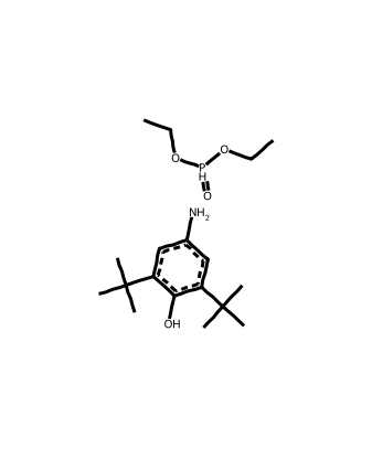 CC(C)(C)c1cc(N)cc(C(C)(C)C)c1O.CCO[PH](=O)OCC